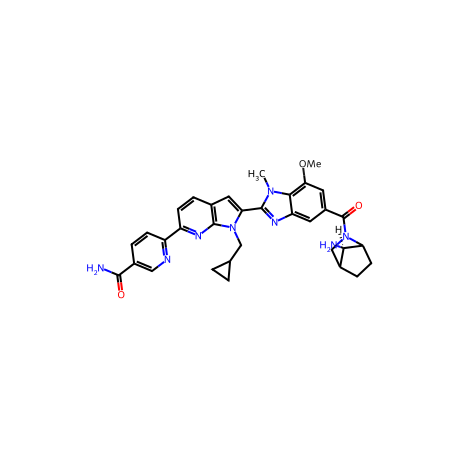 COc1cc(C(=O)N2CC3CCC2[C@@H]3N)cc2nc(-c3cc4ccc(-c5ccc(C(N)=O)cn5)nc4n3CC3CC3)n(C)c12